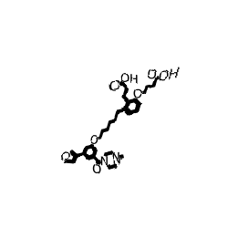 CN1CCN(C(=O)c2cc(OCCCCCCc3cccc(OCCCC(=O)O)c3CCC(=O)O)cc(-c3ccoc3)c2)CC1